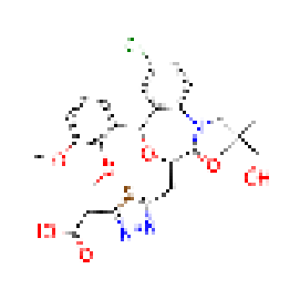 COc1cccc([C@H]2O[C@H](Cc3nnc(CC(=O)O)s3)C(=O)N(CC(C)(C)CO)c3ccc(Cl)cc32)c1OC